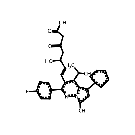 Cc1cc(-c2ccccc2)c2c(C(C)C)c(C=CC(O)CC(=O)CC(=O)O)c(-c3ccc(F)cc3)nn12